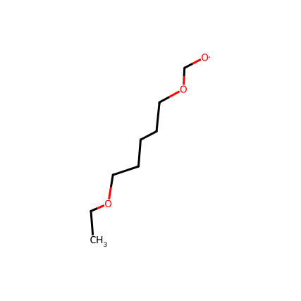 CCOCCCCCOC[O]